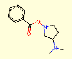 CN(C)C1CCN(OC(=O)c2ccccc2)C1